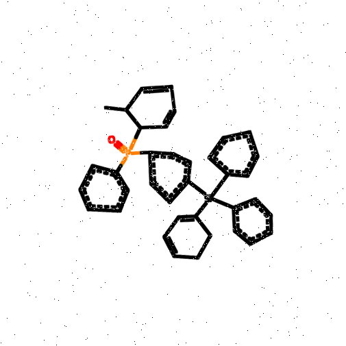 CC1C=CC=CC1P(=O)(c1ccccc1)c1ccc([Si](C2=CC=CCC2)(c2ccccc2)c2ccccc2)cc1